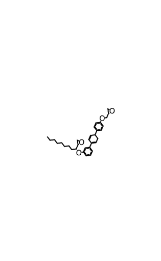 CCCCCCCCC(Oc1cccc(C2=CCC(c3ccc(OCC4CO4)cc3)C=C2)c1)C1CO1